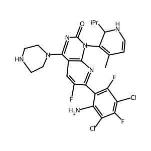 CC1=C(n2c(=O)nc(N3CCNCC3)c3cc(F)c(-c4c(N)c(Cl)c(F)c(Cl)c4F)nc32)C(C(C)C)NC=C1